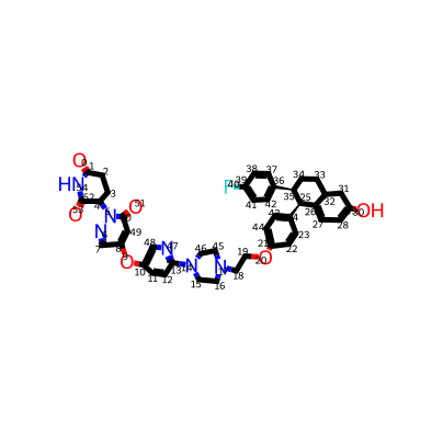 O=C1CCC(n2ncc(Oc3ccc(N4CCN(CCOc5ccc([C@@H]6C7=CC=C(O)CC7CC[C@@H]6c6ccc(F)cc6)cc5)CC4)nc3)cc2=O)C(=O)N1